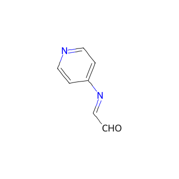 O=CC=Nc1ccncc1